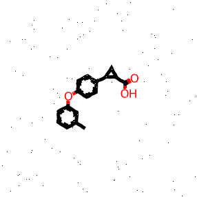 Cc1cccc(Oc2ccc(C3CC3C(=O)O)cc2)c1